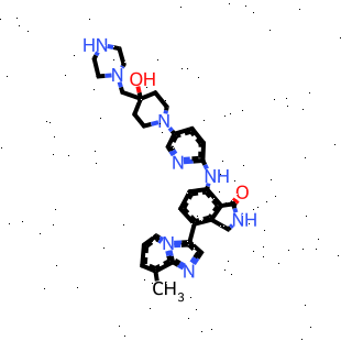 Cc1cccn2c(-c3ccc(Nc4ccc(N5CCC(O)(CN6CCNCC6)CC5)cn4)c4c3CNC4=O)cnc12